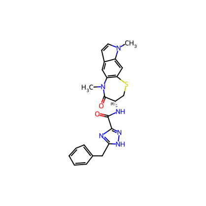 CN1C(=O)[C@@H](NC(=O)c2n[nH]c(Cc3ccccc3)n2)CSc2cc3c(ccn3C)cc21